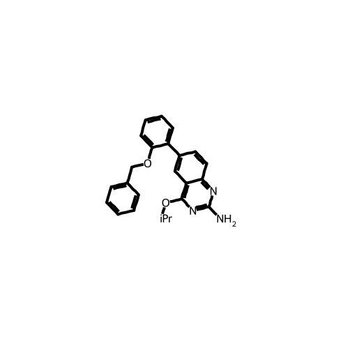 CC(C)Oc1nc(N)nc2ccc(-c3ccccc3OCc3ccccc3)cc12